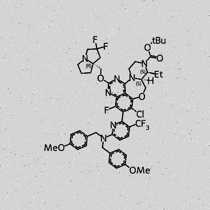 CC[C@H]1[C@H]2COc3c(Cl)c(-c4nc(N(Cc5ccc(OC)cc5)Cc5ccc(OC)cc5)ccc4C(F)(F)F)c(F)c4nc(OC[C@]56CCCN5CC(F)(F)C6)nc(c34)N2CCN1C(=O)OC(C)(C)C